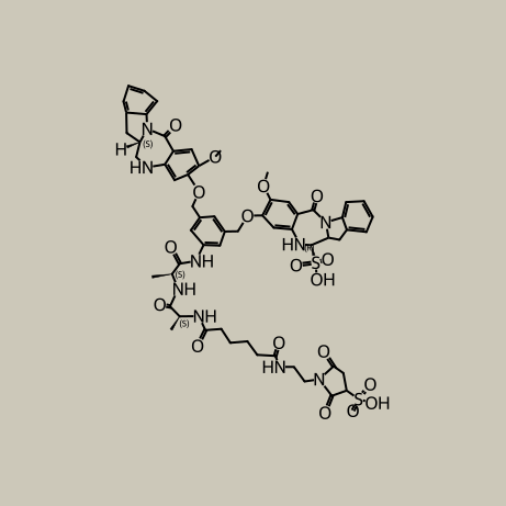 COc1cc2c(cc1OCc1cc(COc3cc4c(cc3OC)C(=O)N3c5ccccc5C[C@H]3CN4)cc(NC(=O)[C@H](C)NC(=O)[C@H](C)NC(=O)CCCCC(=O)NCCN3C(=O)CC(S(=O)(=O)O)C3=O)c1)N[C@H](S(=O)(=O)O)C1Cc3ccccc3N1C2=O